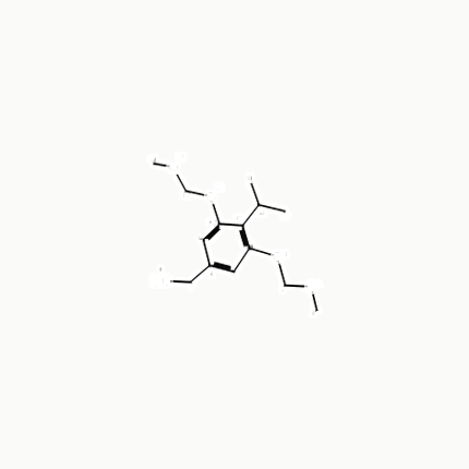 COCOc1cc(CO)cc(OCOC)c1C(C)C